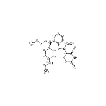 O=C1CCC(N2Cc3c(cccc3N(CCCC(F)(F)F)C3CCC(NCC(F)(F)F)CC3)C2=O)C(=O)N1